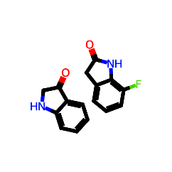 O=C1CNc2ccccc21.O=C1Cc2cccc(F)c2N1